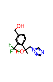 CC(O)(Cn1cncn1)c1ccc(CO)cc1C(F)(F)F